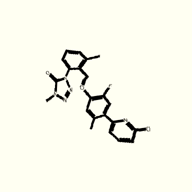 Cc1cc(OCc2c(C)cccc2-n2nnn(C)c2=O)c(F)cc1-c1cccc(Cl)n1